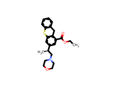 CCOC(=O)c1cc([C@H](C)CN2CCOCC2)cc2c1Cc1ccccc1S2